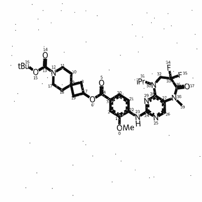 COc1cc(C(=O)OC2CC3(CCN(C(=O)OC(C)(C)C)CC3)C2)ccc1Nc1ncc2c(n1)N(C(C)C)CC(F)(F)C(=O)N2C